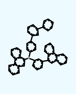 c1ccc(-c2cccc(-c3ccc(N(c4cccc(-c5cc6ccccc6c6ccccc56)c4)c4cc5ccccc5c5ccccc45)cc3)c2)cc1